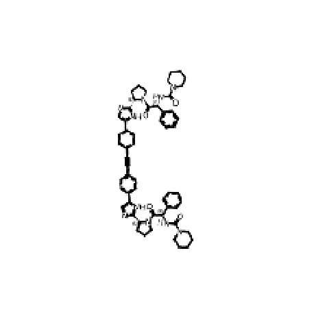 O=C(N[C@@H](C(=O)N1CCC[C@H]1c1ncc(-c2ccc(C#Cc3ccc(-c4cnc([C@@H]5CCCN5C(=O)[C@H](NC(=O)N5CCCCC5)c5ccccc5)[nH]4)cc3)cc2)[nH]1)c1ccccc1)N1CCCCC1